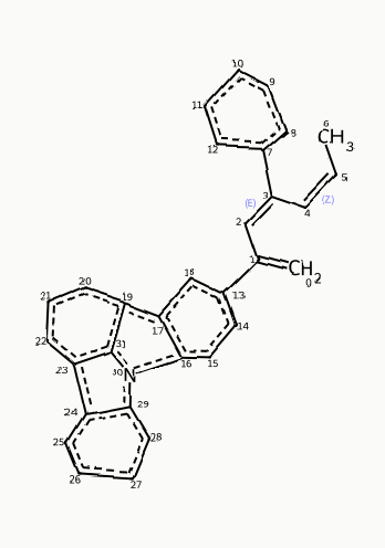 C=C(/C=C(\C=C/C)c1ccccc1)c1ccc2c(c1)c1cccc3c4ccccc4n2c31